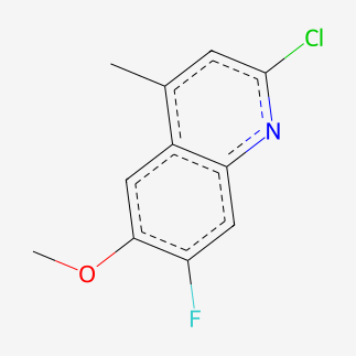 COc1cc2c(C)cc(Cl)nc2cc1F